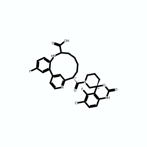 O=C1Nc2ccc(Cl)c(F)c2[C@@]2(CCCN(C(=O)[C@H]3CCCCC(C(=O)O)Nc4ccc(F)cc4-c4ccnc3c4)C2)O1